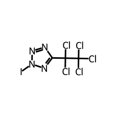 ClC(Cl)(Cl)C(Cl)(Cl)c1nnn(I)n1